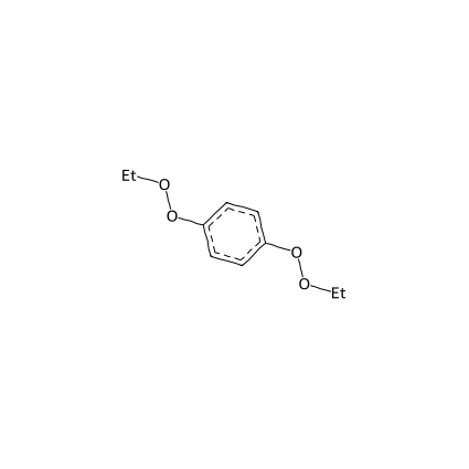 CCOOc1ccc(OOCC)cc1